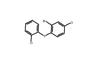 Clc1ccc(Sc2ccccc2Cl)c(Br)c1